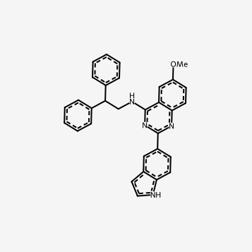 COc1ccc2nc(-c3ccc4[nH]ccc4c3)nc(NCC(c3ccccc3)c3ccccc3)c2c1